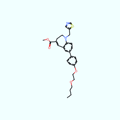 CCCCOCCOc1ccc(-c2ccc3c(c2)C=C(C(=O)OC)CCN3Cc2cncs2)cc1